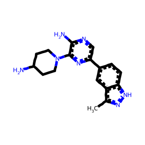 Cc1n[nH]c2ccc(-c3cnc(N)c(N4CCC(N)CC4)n3)cc12